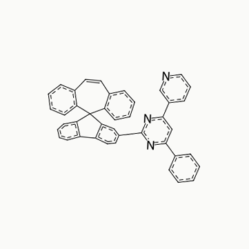 C1=Cc2ccccc2C2(c3ccccc31)c1ccccc1-c1ccc(-c3nc(-c4ccccc4)cc(-c4cccnc4)n3)cc12